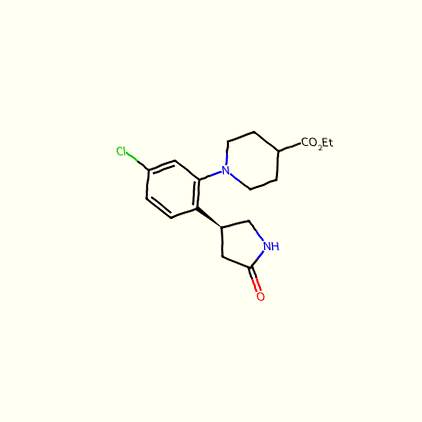 CCOC(=O)C1CCN(c2cc(Cl)ccc2[C@H]2CNC(=O)C2)CC1